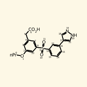 CCCOc1cc(CC(=O)O)cc(S(=O)(=O)c2cccc(-c3cn[nH]c3)c2)c1